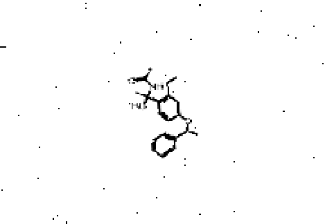 CCc1cc(OC(C)c2ccccc2)ccc1C(C)(O)NC(C)=O